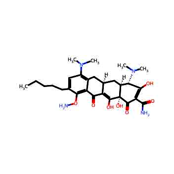 CCCCCc1cc(N(C)C)c2c(c1ON)C(=O)C1=C(O)[C@]3(O)C(=O)C(C(N)=O)=C(O)[C@@H](N(C)C)[C@@H]3C[C@@H]1C2